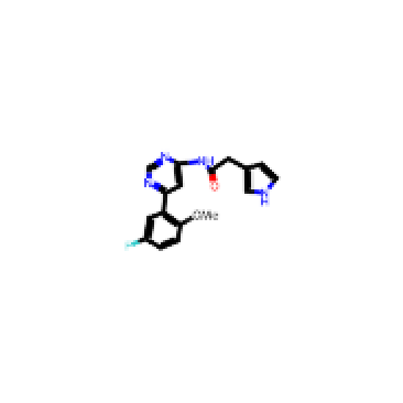 COc1ccc(F)cc1-c1cc(NC(=O)Cc2cc[nH]c2)ncn1